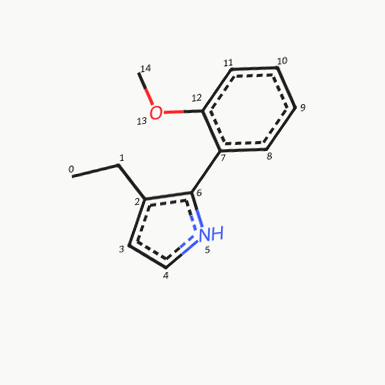 CCc1cc[nH]c1-c1ccccc1OC